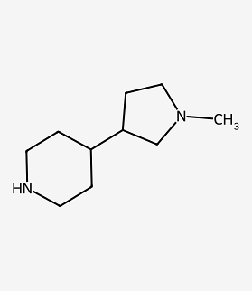 CN1CCC(C2CCNCC2)C1